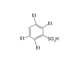 CCc1cc(CC)c(CC)c(S(=O)(=O)O)c1CC